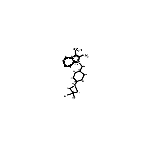 Cc1c(C(=O)O)c2ccccc2n1CC1CCC(N2CC(F)(F)C2)CC1